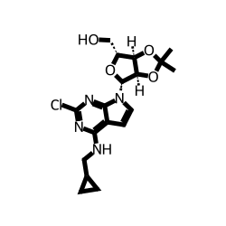 CC1(C)O[C@@H]2[C@H](O1)[C@@H](CO)O[C@H]2n1ccc2c(NCC3CC3)nc(Cl)nc21